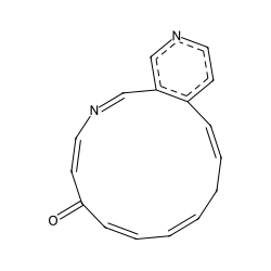 O=C1C=CC=CCC=Cc2ccncc2C=NC=C1